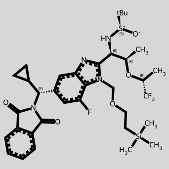 C[C@@H](O[C@H](C)C(F)(F)F)[C@H](N[S@+]([O-])C(C)(C)C)c1nc2cc([C@@H](C3CC3)N3C(=O)c4ccccc4C3=O)cc(F)c2n1COCC[Si](C)(C)C